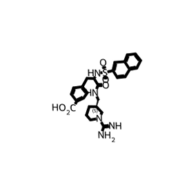 N=C(N)N1CCC[C@@H](CNC(=O)C(Cc2ccc(C(=O)O)cc2)NS(=O)(=O)c2ccc3ccccc3c2)C1